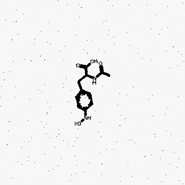 CC(=O)NC(Cc1ccc(NO)cc1)C(=O)O